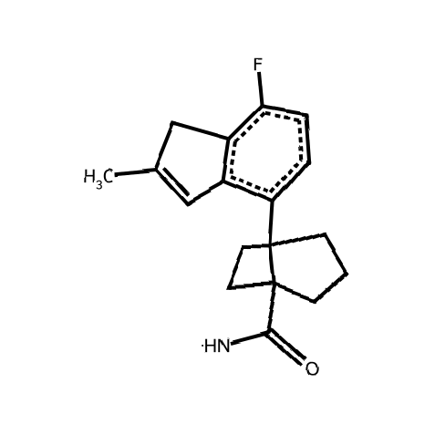 CC1=Cc2c(C34CCCC3(C([NH])=O)CC4)ccc(F)c2C1